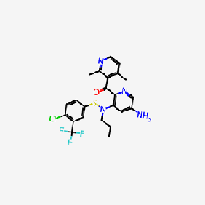 CCCN(Sc1ccc(Cl)c(C(F)(F)F)c1)c1cc(N)cnc1C(=O)c1c(C)ccnc1C